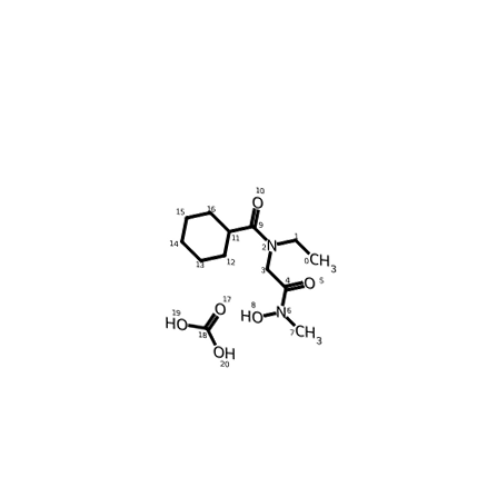 CCN(CC(=O)N(C)O)C(=O)C1CCCCC1.O=C(O)O